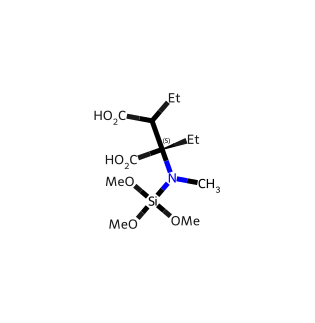 CCC(C(=O)O)[C@@](CC)(C(=O)O)N(C)[Si](OC)(OC)OC